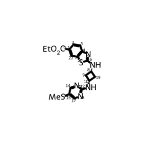 CCOC(=O)c1ccc2nc(N[C@H]3C[C@H](Nc4ncc(SC)cn4)C3)sc2c1